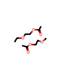 CCOCCOC(C)=O.COCCOC(C)=O